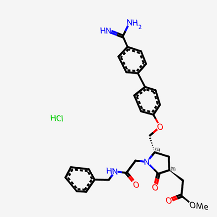 COC(=O)C[C@@H]1C[C@@H](COc2ccc(-c3ccc(C(=N)N)cc3)cc2)N(CC(=O)NCc2ccccc2)C1=O.Cl